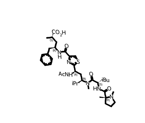 CCC(C)[C@H](NC(=O)[C@@]1(C)CCCN1C)C(=O)N(C)[C@H](C[C@@H](NC(C)=O)c1nc(C(=O)N[C@@H](Cc2ccccc2)C[C@H](C)C(=O)O)cs1)C(C)C